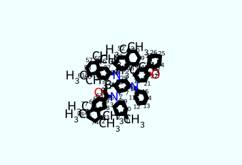 Cc1ccc(N2c3cc(N(c4ccccc4)c4ccc5c(c4)oc4ccccc45)cc4c3B(c3cc5c(cc3N4c3ccc4c(c3)C(C)(C)CCC4(C)C)C(C)(C)CCC5(C)C)c3oc4cc5c(cc4c32)C(C)(C)CCC5(C)C)cc1